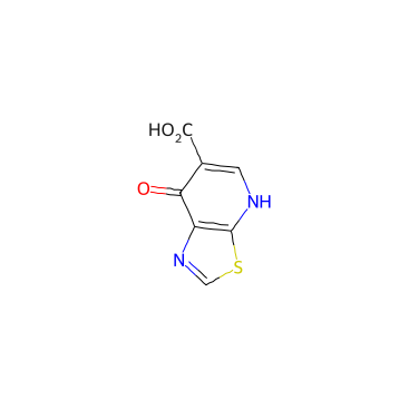 O=C(O)c1c[nH]c2scnc2c1=O